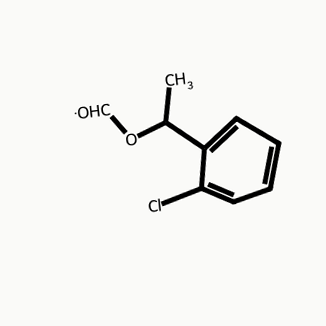 CC(O[C]=O)c1ccccc1Cl